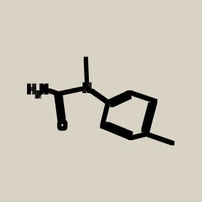 Cc1ccc(N(C)C(N)=O)cc1